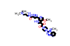 C=NN(/C(=N\N)N1CCN(C(=O)C(=O)c2c[nH]c3c(-c4cc(C(=O)NCCCN(C)C)[nH]n4)ncc(OC)c23)CC1)c1ccccc1